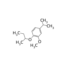 CCC(C)Oc1ccc(C(C)C)cc1OC